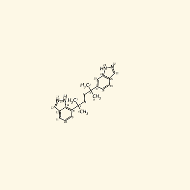 CC(C)(CCC(C)(C)c1cccc2cn[nH]c12)c1ccc2cn[nH]c2c1